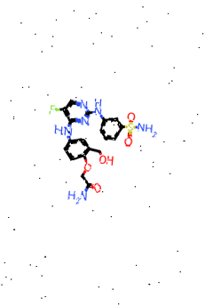 NC(=O)COc1ccc(Nc2nc(Nc3cccc(S(N)(=O)=O)c3)ncc2F)cc1CO